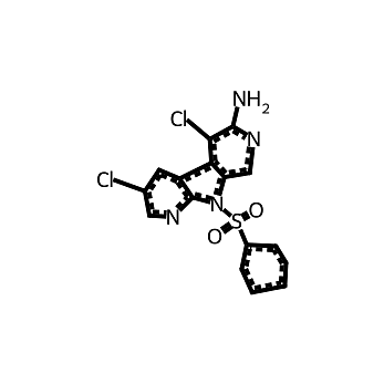 Nc1ncc2c(c1Cl)c1cc(Cl)cnc1n2S(=O)(=O)c1ccccc1